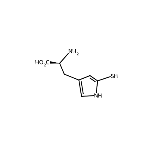 N[C@@H](Cc1c[nH]c(S)c1)C(=O)O